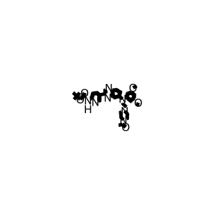 COc1cc(OC)cc(N(CCN2CCN(C(C)=O)CC2)c2ccc3ncc(-c4ccc(NC(=O)OC(C)(C)C)nc4)nc3c2)c1